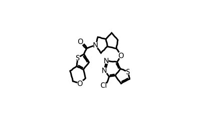 O=C(c1cc2c(s1)CCOC2)N1CC2CCC(Oc3nnc(Cl)c4ccsc34)C2C1